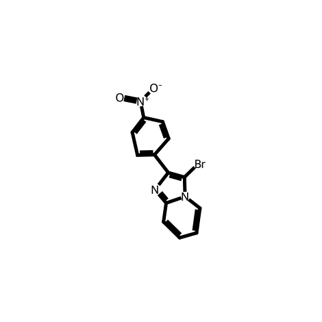 O=[N+]([O-])c1ccc(-c2nc3ccccn3c2Br)cc1